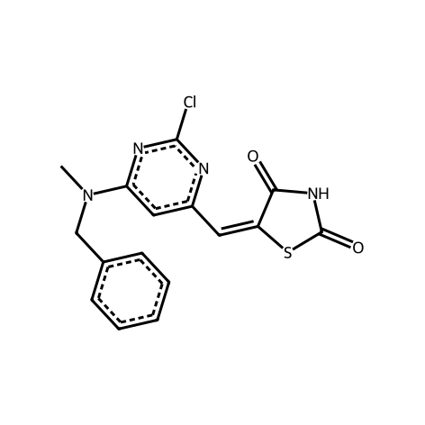 CN(Cc1ccccc1)c1cc(/C=C2/SC(=O)NC2=O)nc(Cl)n1